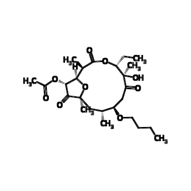 CCCCO[C@@H]1CC(=O)[C@](C)(O)[C@@H](CC)OC(=O)[C@H](C)[C@H]2O[C@@](C)(C[C@H]1C)C(=O)[C@@H]2OC(C)=O